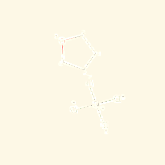 C1CCOC1.Cl[Si](Cl)(Cl)Cl